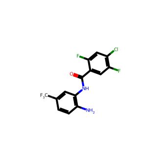 Nc1ccc(C(F)(F)F)cc1NC(=O)c1cc(F)c(Cl)cc1F